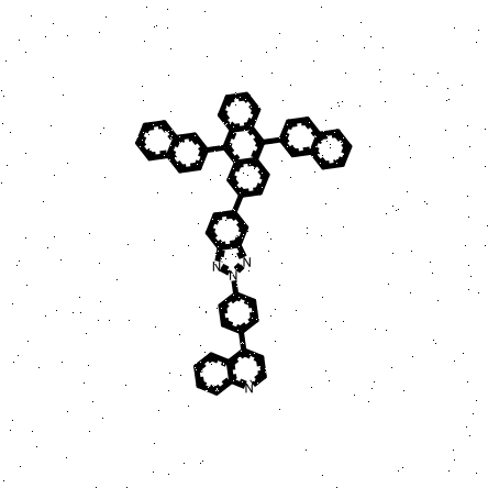 c1ccc2cc(-c3c4ccccc4c(-c4ccc5ccccc5c4)c4cc(-c5ccc6nn(-c7ccc(-c8ccnc9ccccc89)cc7)nc6c5)ccc34)ccc2c1